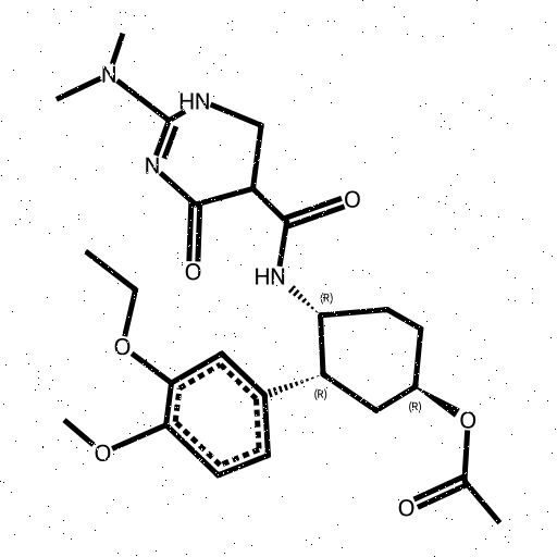 CCOc1cc([C@H]2C[C@H](OC(C)=O)CC[C@H]2NC(=O)C2CNC(N(C)C)=NC2=O)ccc1OC